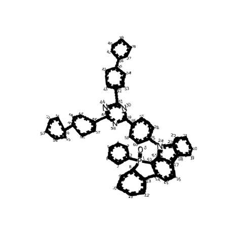 O=P1(c2ccccc2)c2ccccc2-c2ccc3c4ccccc4n(-c4ccc(-c5nc(-c6ccc(-c7ccccc7)cc6)nc(-c6ccc(-c7ccccc7)cc6)n5)cc4)c3c21